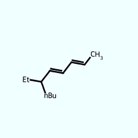 CC=CC=CC(CC)CCCC